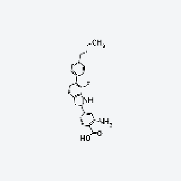 CCCCc1ccc(-c2ccc3c(c2F)NC(c2ccc(C(=O)O)c(N)c2)C3)cc1